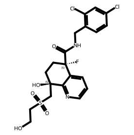 O=C(NCc1ccc(Cl)cc1Cl)[C@]1(F)CC[C@@](O)(CS(=O)(=O)CCO)c2ncccc21